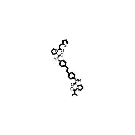 CC(C)C(=O)N1CCC[C@H]1C(=O)Nc1ccc(/C=C/c2ccc(NC(=O)[C@@H]3CCCN3C(=O)Cc3cccs3)cc2)cc1